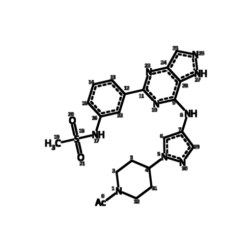 CC(=O)N1CCC(n2cc(Nc3nc(-c4cccc(NS(C)(=O)=O)c4)nc4cn[nH]c34)cn2)CC1